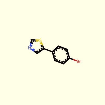 Brc1ccc(-c2cn[c]s2)cc1